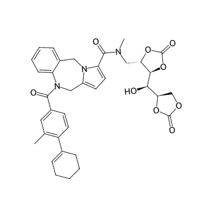 Cc1cc(C(=O)N2Cc3ccc(C(=O)N(C)C[C@@H]4OC(=O)O[C@H]4[C@H](O)[C@H]4COC(=O)O4)n3Cc3ccccc32)ccc1C1=CCCCC1